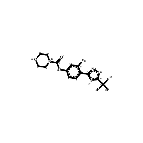 O=C(Oc1ccc(-c2noc(C(F)(F)F)n2)c(F)c1)N1CCOCC1